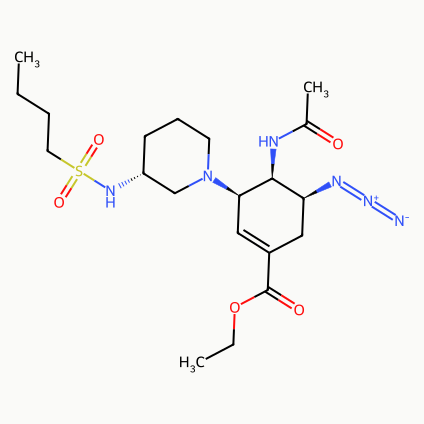 CCCCS(=O)(=O)N[C@@H]1CCCN([C@@H]2C=C(C(=O)OCC)C[C@H](N=[N+]=[N-])[C@@H]2NC(C)=O)C1